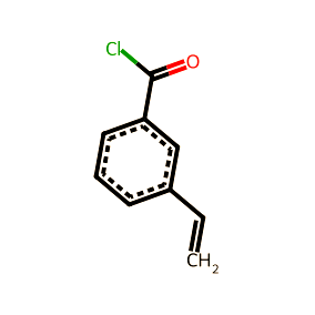 C=Cc1cccc(C(=O)Cl)c1